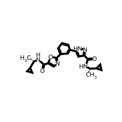 C[C@H](NC(=O)c1cc(-c2cccc(-c3ncc(C(=O)N[C@@H](C)C4CC4)o3)c2)[nH]n1)C1CC1